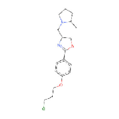 CC1CCCN1CC1COC(c2ccc(OCCCCl)cc2)=N1